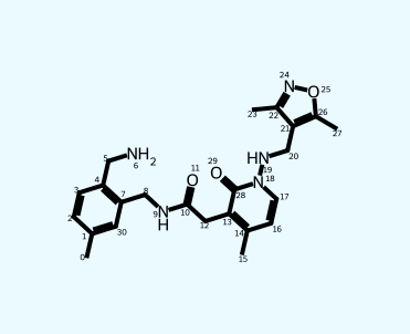 Cc1ccc(CN)c(CNC(=O)Cc2c(C)ccn(NCc3c(C)noc3C)c2=O)c1